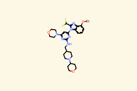 CCOc1cccc2c1nc(C(F)F)n2-c1cc(N2CCOCC2)nc(NCC2CCN(C3CCOCC3)CC2)n1